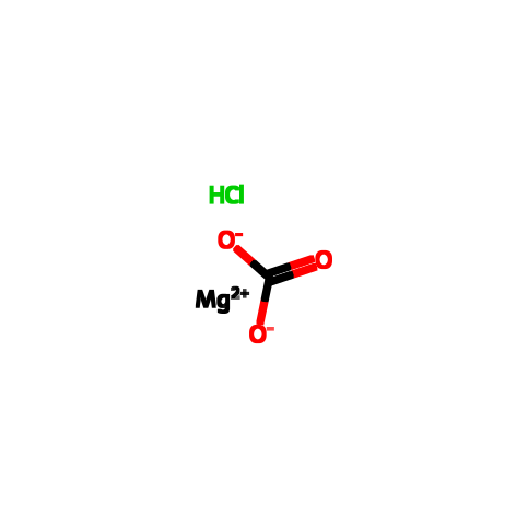 Cl.O=C([O-])[O-].[Mg+2]